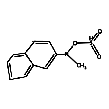 CN(O[SH](=O)=O)c1c[c]c2ccccc2c1